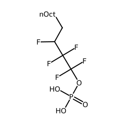 CCCCCCCCCC(F)C(F)(F)C(F)(F)OP(=O)(O)O